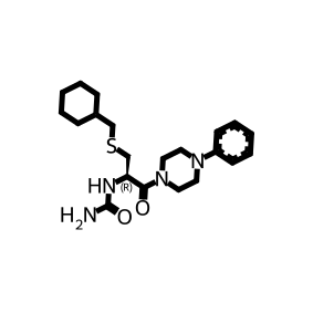 NC(=O)N[C@@H](CSCC1CCCCC1)C(=O)N1CCN(c2ccccc2)CC1